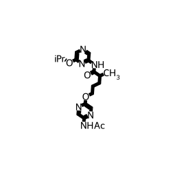 CC(=O)Nc1cnc(OCCCC(C)C(=O)Nc2cncc(OC(C)C)n2)cn1